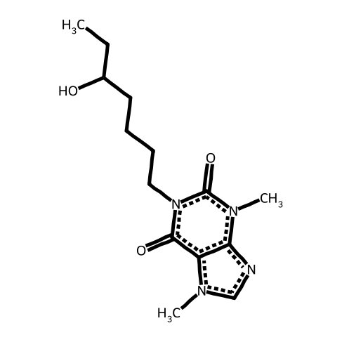 CCC(O)CCCCn1c(=O)c2c(ncn2C)n(C)c1=O